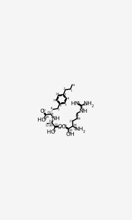 CCCc1ccc(CC[C@H](N[C@H](C)C(=O)O)C(=O)O)cc1.N=C(N)NCCCC(N)C(=O)O